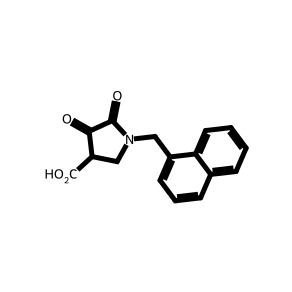 O=C(O)C1CN(Cc2cccc3ccccc23)C(=O)C1=O